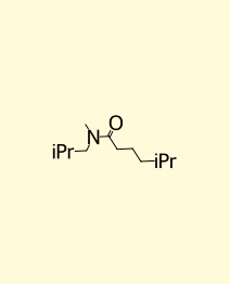 CC(C)CCCC(=O)N(C)CC(C)C